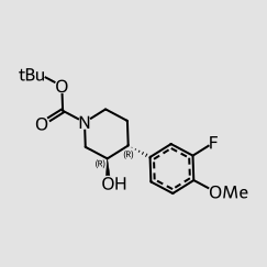 COc1ccc([C@H]2CCN(C(=O)OC(C)(C)C)C[C@@H]2O)cc1F